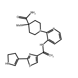 C=C(Nc1cccnc1N1CCC(NC)(C(N)=O)CC1)c1csc(C2=CNCC2)n1